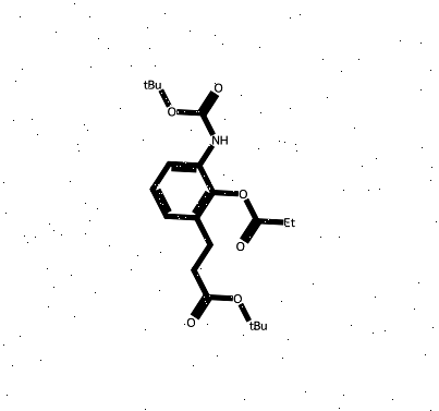 CCC(=O)Oc1c(CCC(=O)OC(C)(C)C)cccc1NC(=O)OC(C)(C)C